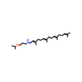 CC(C)=CCC/C(C)=C/CC/C(C)=C/CC/C(C)=C/CNCCCOC(C)C